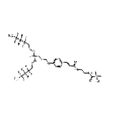 CCC(C)(C)C(=O)NCCNC(=O)/C=C/c1ccc(OCCCC(C)(OCCC(F)(F)C(F)(F)C(F)(F)C(F)(F)F)OCCC(F)(F)C(F)(F)C(F)(F)C(F)(F)F)cc1